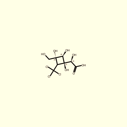 O=C(O)[C@H](O)[C@]1(O)C(C(Cl)(Cl)Cl)[C@@](O)(CO)[C@H]1O